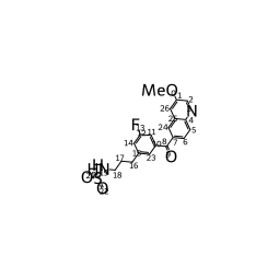 COc1cnc2ccc(C(=O)c3cc(F)cc(CCCN[SH](=O)=O)c3)cc2c1